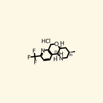 C[C@H]1CN[C@H]2c3ccc(C(F)(F)F)nc3CO[C@H]2C1.Cl